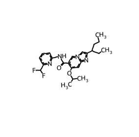 CCCC(CC)c1cn2cc(C(=O)Nc3cccc(C(F)F)n3)c(OC(C)C)cc2n1